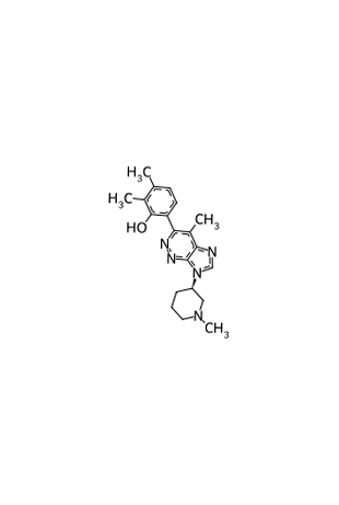 Cc1ccc(-c2nnc3c(ncn3[C@@H]3CCCN(C)C3)c2C)c(O)c1C